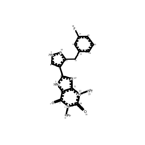 CCCn1c(=O)c2[nH]c(-c3c[nH]nc3Cc3cccc(F)c3)nc2n(CCC)c1=O